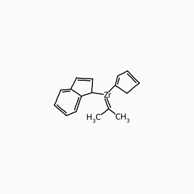 C[C](C)=[Zr]([C]1=CC=CC1)[CH]1C=Cc2ccccc21